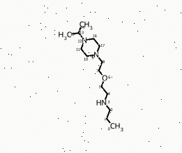 CCCNCCOCCN1CCN(C(C)C)CC1